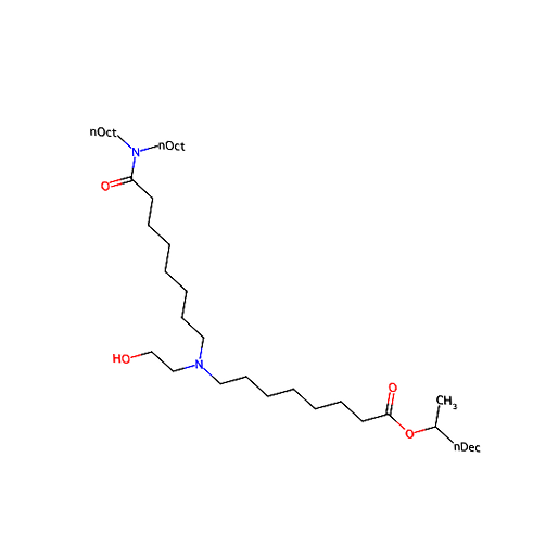 CCCCCCCCCCC(C)OC(=O)CCCCCCCN(CCO)CCCCCCCC(=O)N(CCCCCCCC)CCCCCCCC